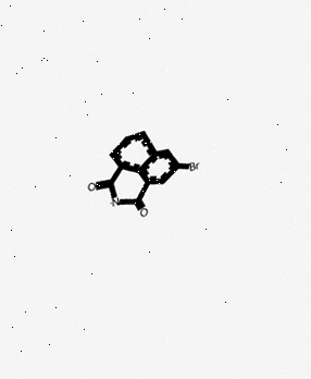 O=C1[N]C(=O)c2cc(Br)cc3cccc1c23